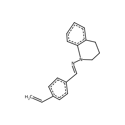 C=Cc1ccc(C=NN2CCCc3ccccc32)cc1